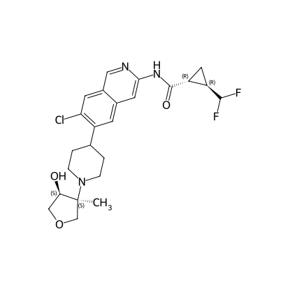 C[C@]1(N2CCC(c3cc4cc(NC(=O)[C@@H]5C[C@H]5C(F)F)ncc4cc3Cl)CC2)COC[C@H]1O